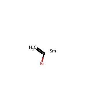 C=CBr.[Sm]